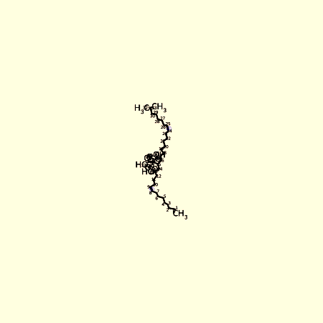 CCCCCCCC/C=C\CCCCCC(CCCCCCCC/C=C\CCCCCC(C)C)C(C(=O)O)(S(=O)(=O)O)S(=O)(=O)O